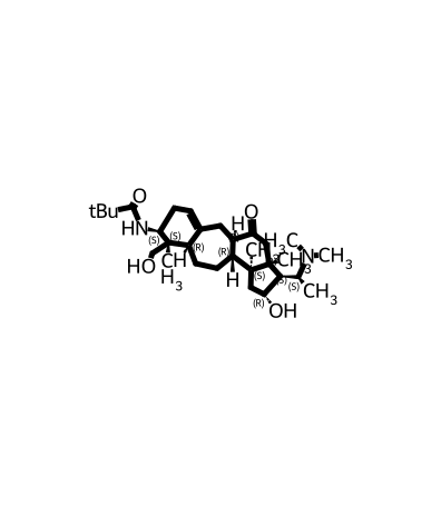 C[C@@H]([C@H]1[C@H](O)C[C@@]2(C)[C@@H]3CC[C@@H]4C(=CC[C@H](NC(=O)C(C)(C)C)[C@@]4(C)CO)C[C@H]3C(=O)C[C@]12C)N(C)C